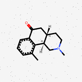 Cc1cccc2c1[C@@H]1CN(C)CC[C@H]1CC2=O